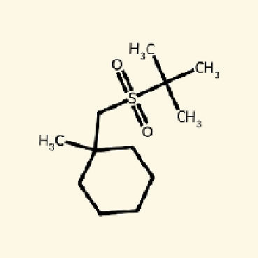 CC1(CS(=O)(=O)C(C)(C)C)CCCCC1